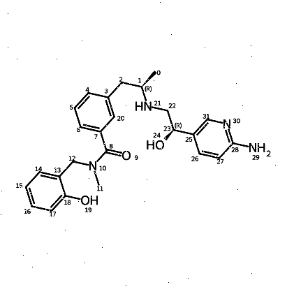 C[C@H](Cc1cccc(C(=O)N(C)Cc2ccccc2O)c1)NC[C@H](O)c1ccc(N)nc1